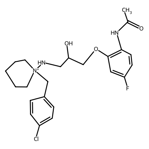 CC(=O)Nc1ccc(F)cc1OCC(O)CN[N+]1(Cc2ccc(Cl)cc2)CCCCC1